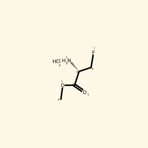 COC(=O)[C@H](N)CF.Cl